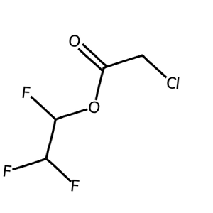 O=C(CCl)OC(F)C(F)F